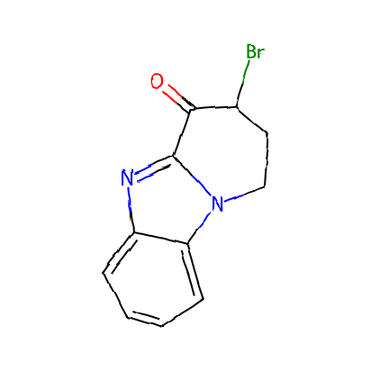 O=C1c2nc3ccccc3n2CCC1Br